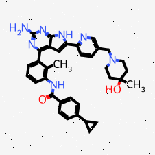 Cc1c(NC(=O)c2ccc(C3CC3)cc2)cccc1-c1nc(N)nc2[nH]c(-c3ccc(CN4CCC(C)(O)CC4)cn3)cc12